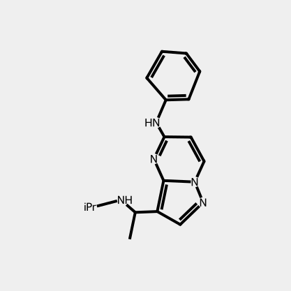 CC(C)NC(C)c1cnn2ccc(Nc3ccccc3)nc12